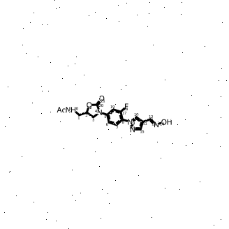 CC(=O)NCC1CN(c2ccc(-n3cc(C=NO)cn3)c(F)c2)C(=O)O1